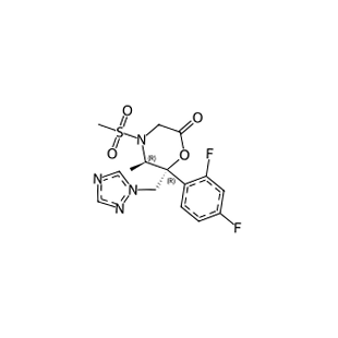 C[C@H]1N(S(C)(=O)=O)CC(=O)O[C@@]1(Cn1cncn1)c1ccc(F)cc1F